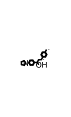 [CH2]c1ccc([CH]CC(O)c2ccc(N3CCCC3)cc2)cc1